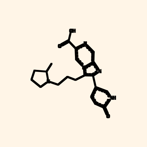 CC1CCCN1CCCc1c(-c2ccc(=O)[nH]c2)nc2cnc(C(=O)O)cn12